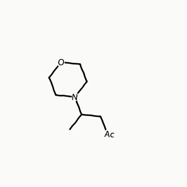 CC(=O)CC(C)N1CCOCC1